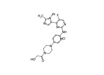 Cc1ncc(-c2nc(Nc3ccc(N4CCN(C(=O)CO)CC4)cc3)ncc2F)n1C(C)C.Cl